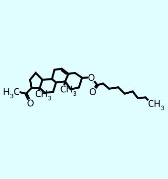 CCCCCCCCC(=O)OC1CCC2(C)C(=CCC3C2CCC2(C)C(C(C)=O)CCC32)C1